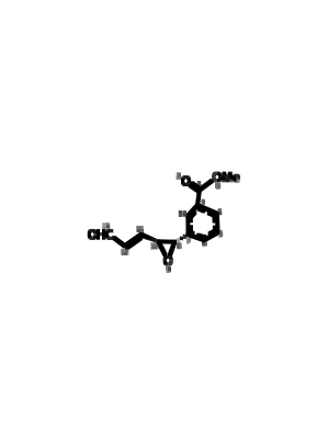 COC(=O)c1cccc([C@@H]2O[C@H]2/C=C/C=O)c1